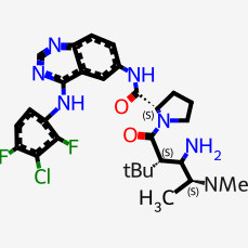 CN[C@@H](C)C(N)[C@@H](C(=O)N1CCC[C@H]1C(=O)Nc1ccc2ncnc(Nc3ccc(F)c(Cl)c3F)c2c1)C(C)(C)C